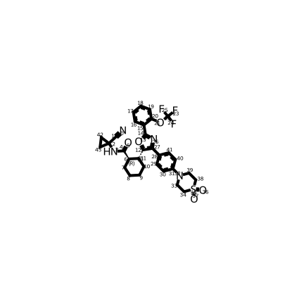 N#CC1(NC(=O)[C@@H]2CCCC[C@H]2c2oc(-c3ccccc3OC(F)(F)F)nc2-c2ccc(N3CCS(=O)(=O)CC3)cc2)CC1